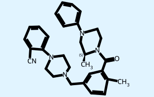 Cc1ccc(CN2CCN(c3ccccc3C#N)CC2)cc1C(=O)N1CCN(c2ccccc2)C[C@@H]1C